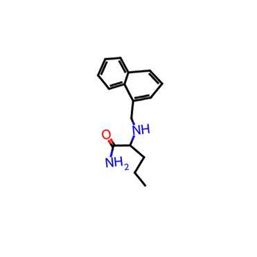 CCCC(NCc1cccc2ccccc12)C(N)=O